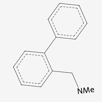 [CH2-][NH2+]Cc1ccccc1-c1ccccc1